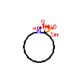 O=P(O)(O)C1(P(=O)(O)O)CCCCCCCCCCCCCCN1